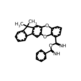 CC1(C)c2ccccc2-c2cc3c(cc21)Oc1cccc(C(=N)OC(=N)c2ccccc2)c1O3